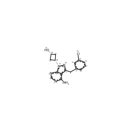 Nc1ncnc2c1c(Cc1cccc(Cl)c1)nn2[C@H]1C[C@@H](O)C1